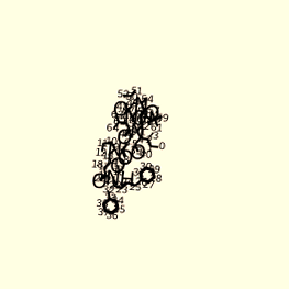 CC[C@H](C)[C@@H]([C@@H](CC(=O)N1CCC[C@H]1[C@H](OC)[C@@H](C)C(=O)N[C@H](C=CCc1ccccc1)Cc1ccccc1)OC)N(C)C(=O)[C@@H](NC(=O)[C@H](C(C)C)N(C)C(=O)OC(C)(C)C)C(C)C